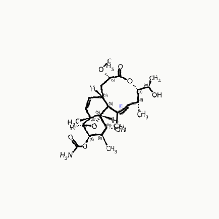 CO[C@H]1C[C@H]2C=C[C@]3(C)[C@H]4[C@H](O)[C@@H](C)[C@@H](OC(N)=O)[C@@H]3O[C@@]24/C(C)=C/[C@@H](C)[C@@H]([C@@H](C)O)OC1=O